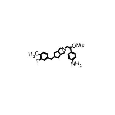 CO[C@@H](CN1CC2CC(Cc3ccc(C)c(F)c3)CC2C1)c1ccc(N)cc1